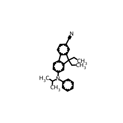 CCC1(CC)c2cc(C#N)ccc2-c2ccc(N(c3ccccc3)C(C)C)cc21